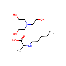 CCCCCNC(C)C(=O)O.OCCN(CCO)CCO